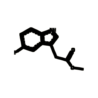 COC(=O)Cc1c[nH]c2ccc(F)cc12